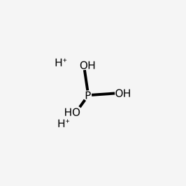 OP(O)O.[H+].[H+]